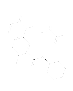 CCC(=O)NCCn1c(=O)c(C)cc2cc(C)c(C(=O)N[C@@H]3CCCNC3)cc21